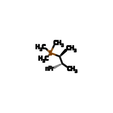 CCC[C@@H](C)[C@H](C)S(C)(C)C